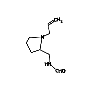 C=CCN1CCCC1CN[C]=O